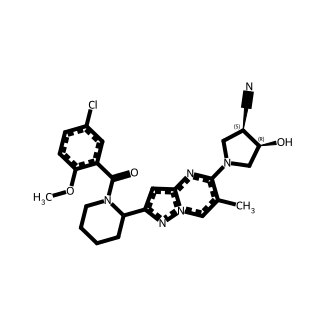 COc1ccc(Cl)cc1C(=O)N1CCCCC1c1cc2nc(N3C[C@@H](C#N)[C@@H](O)C3)c(C)cn2n1